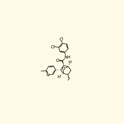 Cc1ccc([C@H]2[C@H]3O[C@H](C[C@H]3F)[C@@H]2C(=O)Nc2ccc(Cl)c(Cl)c2)cn1